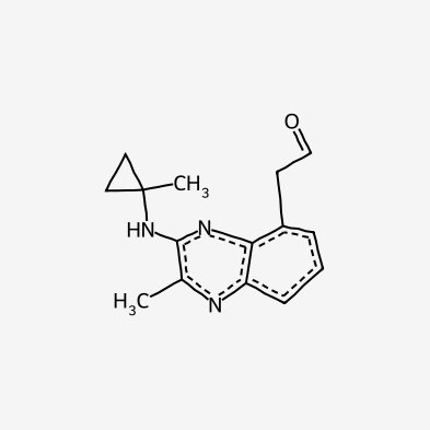 Cc1nc2cccc(CC=O)c2nc1NC1(C)CC1